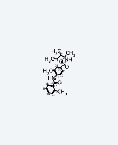 CCC(C)C(C)NS(=O)(=O)c1ccc(NC(=O)c2ccccc2C)c(C)c1